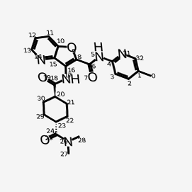 Cc1ccc(NC(=O)c2oc3cccnc3c2NC(=O)[C@H]2CC[C@H](C(=O)N(C)C)CC2)nc1